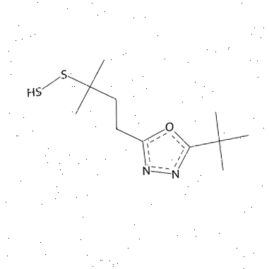 CC(C)(CCc1nnc(C(C)(C)C)o1)SS